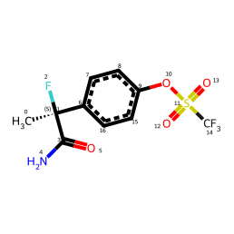 C[C@@](F)(C(N)=O)c1ccc(OS(=O)(=O)C(F)(F)F)cc1